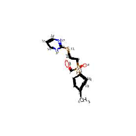 Cc1ccc([SH](=O)(C=O)CCSc2ncccn2)cc1